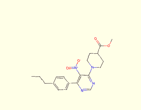 CCCc1ccc(-c2ncnc(N3CCC(C(=O)OC)CC3)c2[N+](=O)[O-])cc1